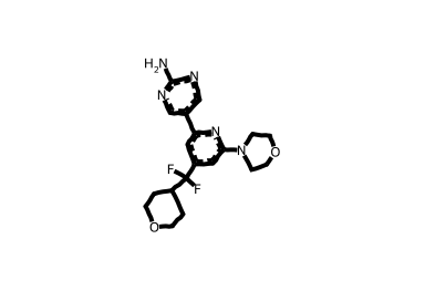 Nc1ncc(-c2cc(C(F)(F)C3CCOCC3)cc(N3CCOCC3)n2)cn1